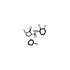 CN1C[C@@H](c2cccc(I)c2)[C@H](C(=O)Nc2cccc(F)c2F)C1=O